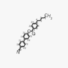 CCCCCc1ccc(C(=O)Oc2ccc(-c3ccc(C#N)cc3)cc2)cc1